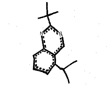 CC(C)c1cccc2nc(C(C)(C)C)ncc12